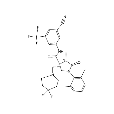 Cc1cccc(C)c1N1C[C@@](CN2CCC(F)(F)CC2)(C(=O)Nc2cc(C#N)cc(C(F)(F)F)c2)[C@H](C)C1=O